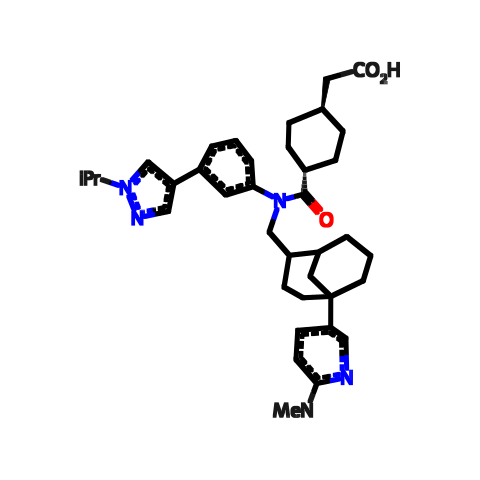 CNc1ccc(C23CCCC(C2)C(CN(c2cccc(-c4cnn(C(C)C)c4)c2)C(=O)[C@H]2CC[C@H](CC(=O)O)CC2)CC3)cn1